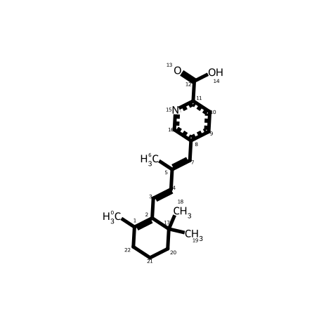 CC1=C(C=C/C(C)=C/c2ccc(C(=O)O)nc2)C(C)(C)CCC1